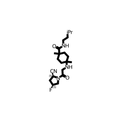 CC(C)CCNC(=O)C1(C)CCC(C)(NCC(=O)N2C[C@@H](F)C[C@H]2C#N)CC1